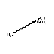 CCCCCCCCCCCCC/C=C/C[C@H](CO)NC